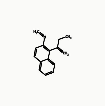 C=Nc1ccc2ccccc2c1C(=C)CC